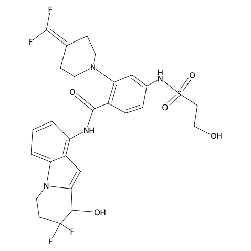 O=C(Nc1cccc2c1cc1n2CCC(F)(F)C1O)c1ccc(NS(=O)(=O)CCO)cc1N1CCC(=C(F)F)CC1